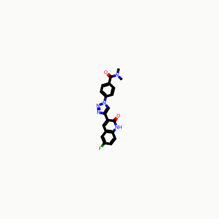 CN(C)C(=O)c1ccc(-n2cc(-c3cc4cc(F)ccc4[nH]c3=O)nn2)cc1